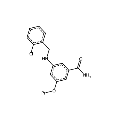 CC(C)Oc1cc(NCc2ccccc2Cl)cc(C(N)=O)c1